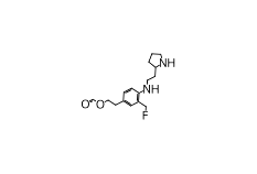 O=COCCc1ccc(NCCC2CCCN2)c(CF)c1